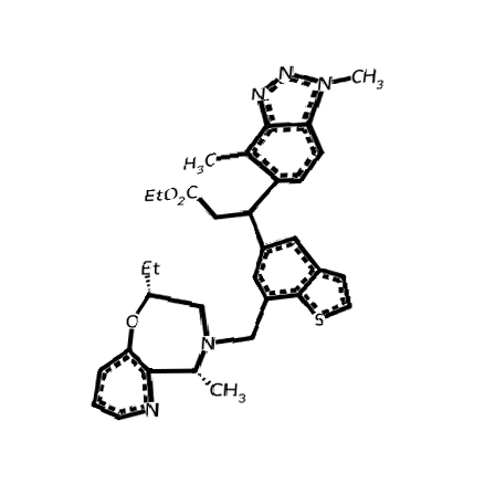 CCOC(=O)CC(c1cc(CN2C[C@@H](CC)Oc3cccnc3[C@H]2C)c2sccc2c1)c1ccc2c(nnn2C)c1C